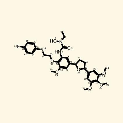 CCN(O)C(=O)Nc1cc(C2CCC(c3cc(OC)c(OC)c(OC)c3)O2)cc(OC)c1OCCSc1ccc(F)cc1